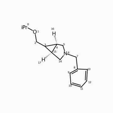 CC(C)OCC1[C@H]2CN(Cc3ccccc3)C[C@@H]12